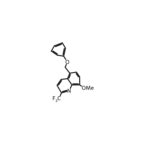 COc1ccc(COc2ccccc2)c2ccc(C(F)(F)F)nc12